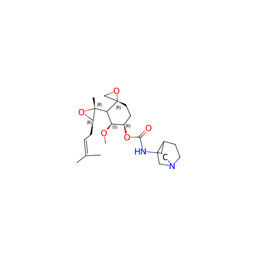 CO[C@H]1C([C@@]2(C)O[C@@H]2CC=C(C)C)[C@]2(CC[C@H]1OC(=O)NC1CN3CCC1CC3)CO2